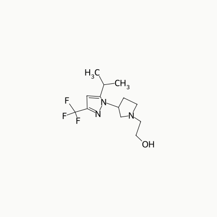 CC(C)c1cc(C(F)(F)F)nn1C1CCN(CCO)C1